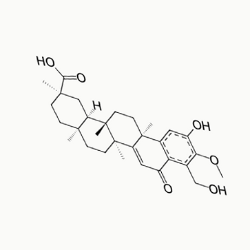 COc1c(O)cc2c(c1CO)C(=O)C=C1[C@@]2(C)CC[C@@]2(C)[C@@H]3C[C@](C)(C(=O)O)CC[C@]3(C)CC[C@]12C